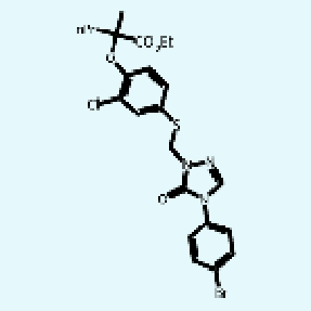 CCCC(C)(Oc1ccc(SCn2ncn(-c3ccc(Br)cc3)c2=O)cc1Cl)C(=O)OCC